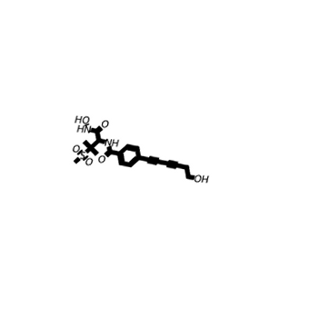 CC(C)(C(NC(=O)c1ccc(C#CC#CCCO)cc1)C(=O)NO)S(C)(=O)=O